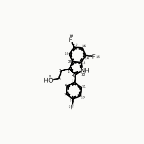 OCCc1c(-c2ccc(F)cc2)[nH]c2c(F)cc(F)cc12